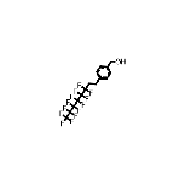 OCc1ccc(CCC(F)(F)C(F)(F)C(F)(F)C(F)(F)C(F)(F)C(F)(F)F)cc1